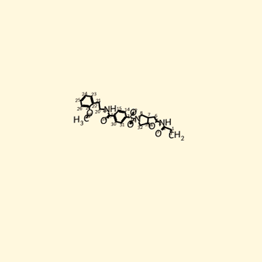 C=CC(=O)NC1CC2CN(S(=O)(=O)c3ccc(C(=O)NCCc4ccccc4OC)cc3)CC2O1